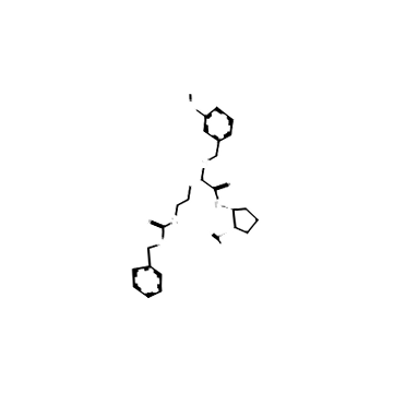 COc1cccc(CN[C@@H](CCCNC(=O)OCc2ccccc2)C(=O)N[C@H]2CCC[C@H]2C(=O)O)c1